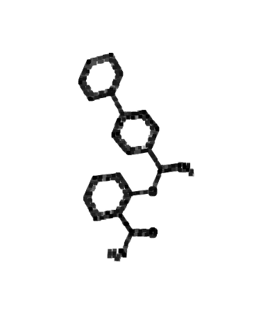 C=C(Oc1ccccc1C(N)=O)c1ccc(-c2ccccc2)cc1